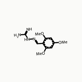 COc1cc(OC)c(/C=N/NC(=N)N)c(OC)c1